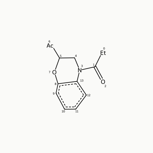 CCC(=O)N1CC(C(C)=O)Oc2ccccc21